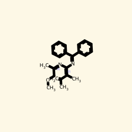 C=C(C)/C(C)=C(N=C(c1ccccc1)c1ccccc1)\N=C(\C)COC